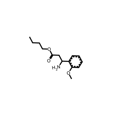 CCCCOC(=O)CC(N)c1ccccc1OC